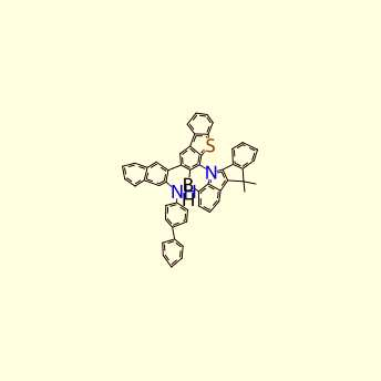 CC1(C)c2ccccc2-c2c1c1cccc3c1n2-c1c(c(-c2cc4ccccc4cc2Nc2ccc(-c4ccccc4)cc2)cc2c1sc1ccccc12)B3